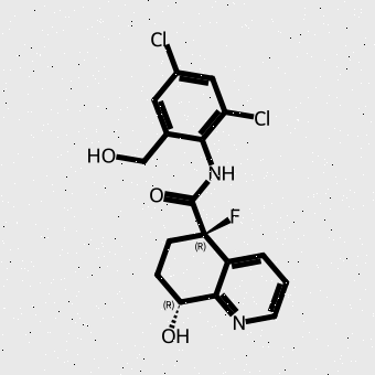 O=C(Nc1c(Cl)cc(Cl)cc1CO)[C@@]1(F)CC[C@@H](O)c2ncccc21